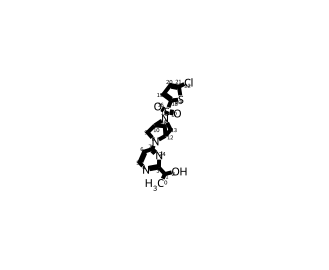 CC(O)c1nccc(N2CC3CC2CN3S(=O)(=O)c2ccc(Cl)s2)n1